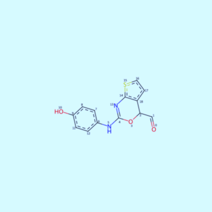 O=CC1OC(Nc2ccc(O)cc2)=Nc2sccc21